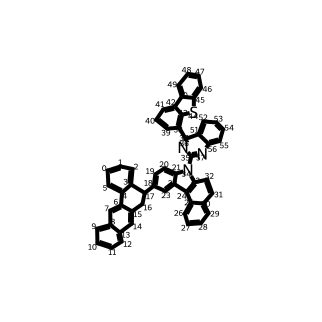 c1ccc2c(c1)-c1cc3ccccc3cc1CC2c1ccc2c(c1)c1c3ccccc3ccc1n2-c1nc(-c2cccc3c2sc2ccccc23)c2ccccc2n1